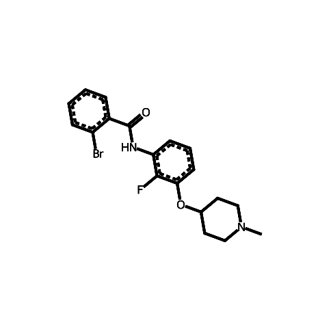 CN1CCC(Oc2cccc(NC(=O)c3ccccc3Br)c2F)CC1